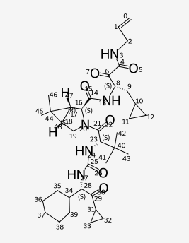 C=CCNC(=O)C(=O)[C@H](CC1CC1)NC(=O)[C@@H]1[C@@H]2[C@H](CN1C(=O)[C@@H](NC(=O)N[C@H](C(=O)C1CC1)C1CCCCC1)C(C)(C)C)C2(C)C